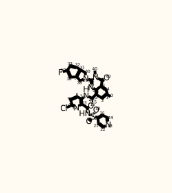 Cc1cc([C@@H](C)Nc2ccc(Cl)nc2C(=O)NS(=O)(=O)c2ccncc2)c2nc(N3Cc4ccc(F)cc4C3)n(C)c(=O)c2c1